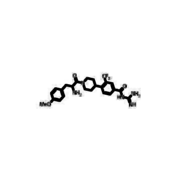 COc1ccc(CC(N)C(=O)N2CCC(c3ccc(C(=O)NC(=N)N)cc3C(F)(F)F)CC2)cc1